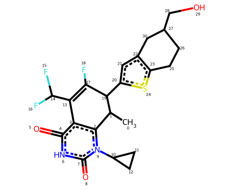 CC1c2c(c(=O)[nH]c(=O)n2C2CC2)C(C(F)F)=C(F)C1c1cc2c(s1)CCC(CO)C2